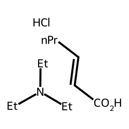 CCCC=CC(=O)O.CCN(CC)CC.Cl